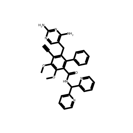 C#Cc1c(Cc2cnc(N)nc2N)c(-c2ccccc2)c(C(=O)NC(c2ccccn2)c2ccccn2)c(OC)c1OC